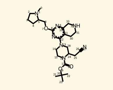 CN1CCCC1COc1nc2c(c(N3CCN(C(=O)OC(C)(C)C)C(CC#N)C3)n1)CCNC2